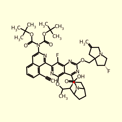 C#Cc1cccc2cc(N(C(=O)OC(C)(C)C)C(=O)OC(C)(C)C)nc(-c3nc4c5c(nc(OCC67CC(=C)CN6C[C@H](F)C7)nc5c3F)N3CC5CCC(C3C(C)O4)N5C(=O)O)c12